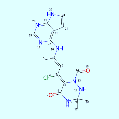 C/C(=C\C(Cl)=C1\C(=O)NC(C)(C)NN1C=O)Nc1ncnc2[nH]ccc12